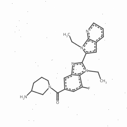 CCn1c(-c2nc3cc(C(=O)N4CCCC(N)C4)cc(F)c3n2CC)cc2cccnc21